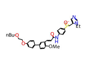 CCCCOCCOc1ccc(-c2ccc(OC)c(/C=C/C(=O)Nc3ccc([S+]([O-])Cc4cncn4CC)cc3)c2)cc1